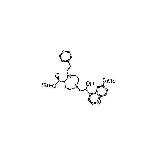 COc1ccc2nccc(C(O)CN3CCC(C(=O)OC(C)(C)C)N(CCc4ccccc4)CC3)c2c1